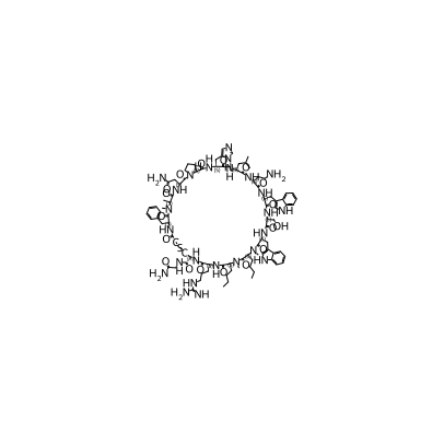 CCCC[C@H]1C(=O)N(C)[C@@H](CCCC)C(=O)N[C@@H](CCCNC(=N)N)C(=O)N[C@H](C(=O)NCC(N)=O)CSCC(=O)N[C@@H](Cc2ccccc2)C(=O)N(C)[C@@H](C)C(=O)N[C@@H](CC(N)=O)C(=O)N2CCC[C@H]2C(=O)N[C@@H](Cc2cnc[nH]2)C(=O)N[C@@H](CC(C)C)C(=O)N[C@@H](CCN)C(=O)N[C@@H](Cc2c[nH]c3ccccc23)C(=O)N[C@@H](CO)C(=O)N[C@@H](Cc2c[nH]c3ccccc23)C(=O)N1C